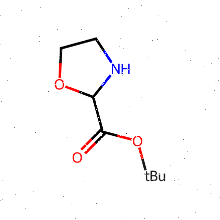 CC(C)(C)OC(=O)C1NCCO1